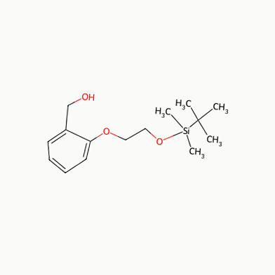 CC(C)(C)[Si](C)(C)OCCOc1ccccc1CO